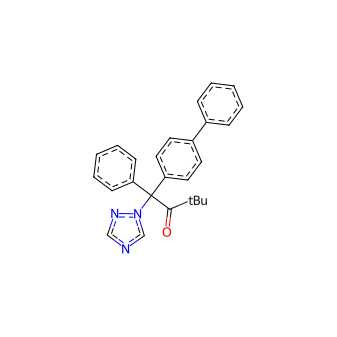 CC(C)(C)C(=O)C(c1ccccc1)(c1ccc(-c2ccccc2)cc1)n1cncn1